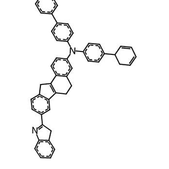 C1=CCC(c2ccc(N(c3ccc(-c4ccccc4)cc3)c3ccc4c(c3)CCC3=C4Cc4ccc(C5=Nc6ccccc6C5)cc43)cc2)C=C1